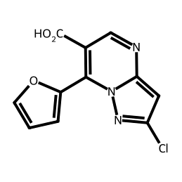 O=C(O)c1cnc2cc(Cl)nn2c1-c1ccco1